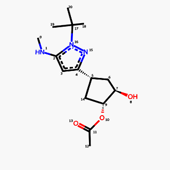 CNc1cc([C@@H]2C[C@@H](O)[C@H](OC(C)=O)C2)nn1C(C)(C)C